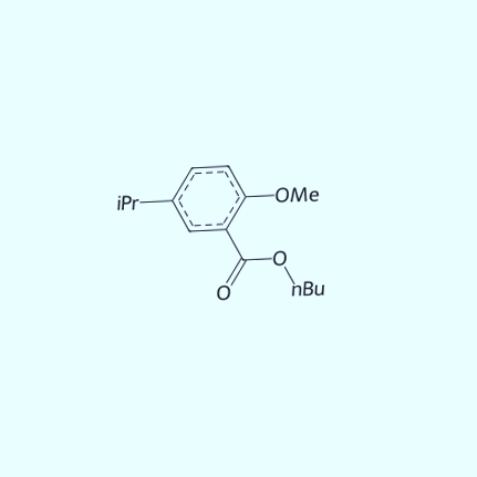 CCCCOC(=O)c1cc(C(C)C)ccc1OC